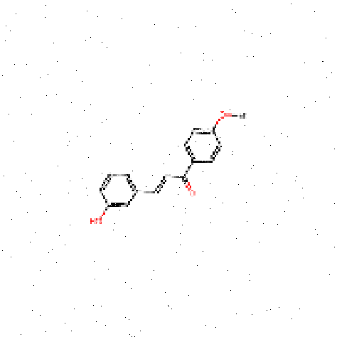 CCOc1ccc(C(=O)C=Cc2cccc(O)c2)cc1